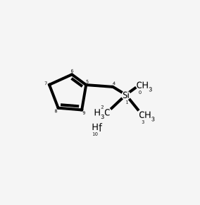 C[Si](C)(C)CC1=C[CH]C=C1.[Hf]